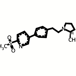 C[C@@H]1CCCN1CCc1ccc(-c2ccc(S(C)(=O)=O)nc2)cc1